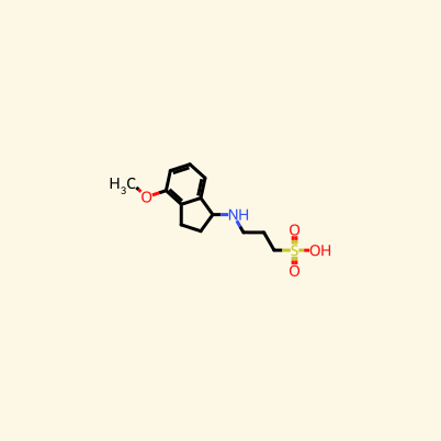 COc1cccc2c1CCC2NCCCS(=O)(=O)O